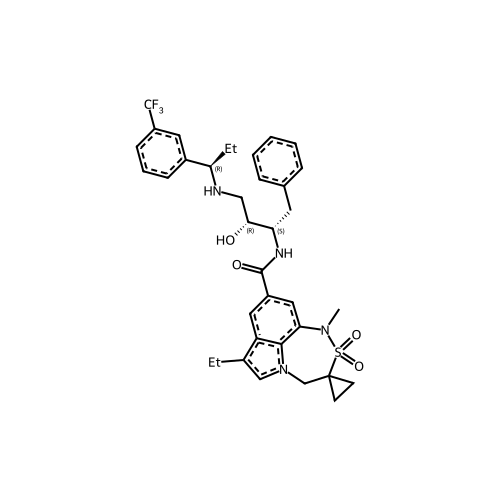 CCc1cn2c3c(cc(C(=O)N[C@@H](Cc4ccccc4)[C@H](O)CN[C@H](CC)c4cccc(C(F)(F)F)c4)cc13)N(C)S(=O)(=O)C1(CC1)C2